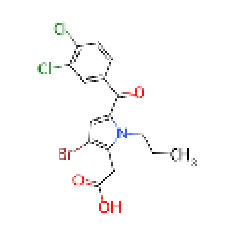 CCCn1c(C(=O)c2ccc(Cl)c(Cl)c2)cc(Br)c1CC(=O)O